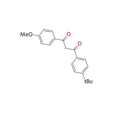 COc1ccc(C(=O)[CH]C(=O)c2ccc(C(C)(C)C)cc2)cc1